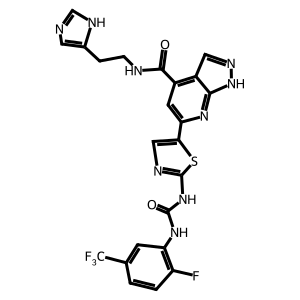 O=C(Nc1ncc(-c2cc(C(=O)NCCc3cnc[nH]3)c3cn[nH]c3n2)s1)Nc1cc(C(F)(F)F)ccc1F